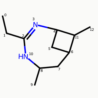 CC/C1=N/C2CC(CC(C)N1)C2C